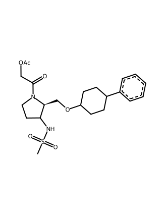 CC(=O)OCC(=O)N1CCC(NS(C)(=O)=O)[C@@H]1COC1CCC(c2ccccc2)CC1